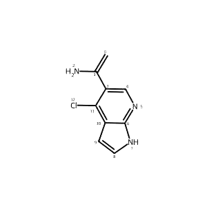 C=C(N)c1cnc2[nH]ccc2c1Cl